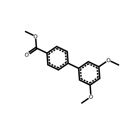 COC(=O)c1ccc(-c2cc(OC)cc(OC)c2)cc1